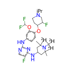 [2H]C([2H])([2H])N1C(C)(C)CC(Nc2nc(Nc3ccc(OC4CCN(C(C)C)CC4F)c(OC(F)F)c3)ncc2F)CC1(C)C